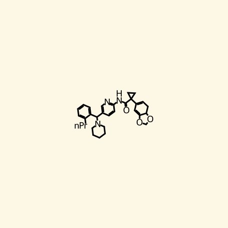 CCCc1ccccc1C(c1ccc(NC(=O)C2(C3=CCC4OCOC4=C3)CC2)nc1)N1CCCCC1